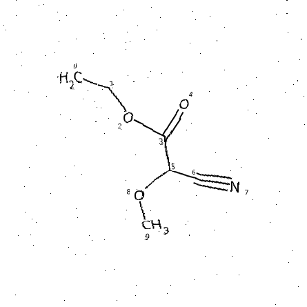 [CH2]COC(=O)C(C#N)OC